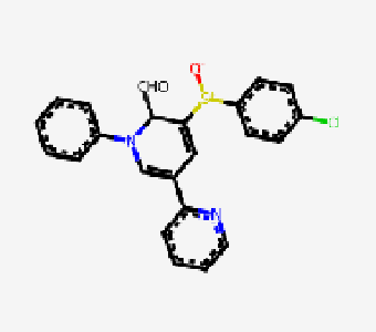 O=CC1C([S+]([O-])c2ccc(Cl)cc2)=CC(c2ccccn2)=CN1c1ccccc1